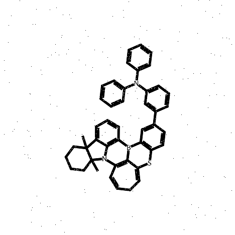 CC12CCCCC1(C)N1C3=C4B(c5cc(-c6cccc(N(c7ccccc7)c7ccccc7)c6)ccc5SC4=CCC=C3)c3cccc2c31